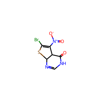 O=C1NC=NC2SC(Br)=C([N+](=O)[O-])C12